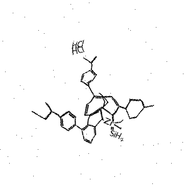 CCC1=Cc2c(-c3ccc(C(C)CC)cc3)cccc2[CH]1[Zr]([CH3])([CH3])(=[SiH2])[CH]1C(C2CCC(C)CC2)=Cc2c(-c3ccc(C(C)C)cc3)cccc21.Cl.Cl